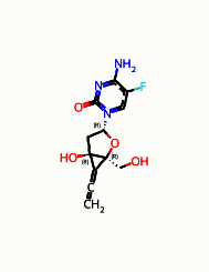 C=C=C1[C@]2(O)C[C@H](n3cc(F)c(N)nc3=O)O[C@@]12CO